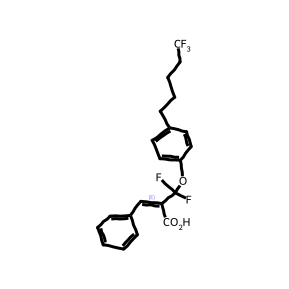 O=C(O)/C(=C\c1ccccc1)C(F)(F)Oc1ccc(CCCCC(F)(F)F)cc1